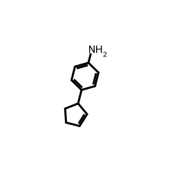 Nc1ccc(C2C=CCC2)cc1